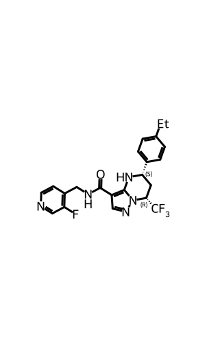 CCc1ccc([C@@H]2C[C@H](C(F)(F)F)n3ncc(C(=O)NCc4ccncc4F)c3N2)cc1